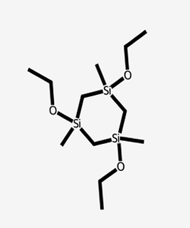 CCO[Si]1(C)C[Si](C)(OCC)C[Si](C)(OCC)C1